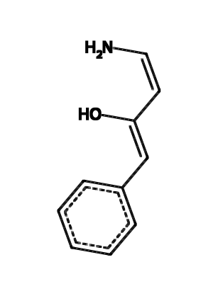 N/C=C\C(O)=C\c1ccccc1